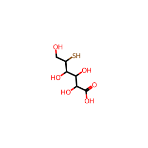 O=C(O)C(O)C(O)C(O)C(S)CO